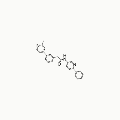 Cc1cc(-c2cccc(CC(=O)Nc3ccc(-c4ccccc4)nc3)c2)ccn1